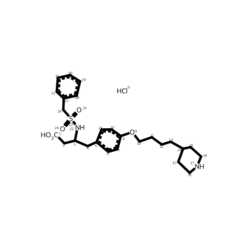 Cl.O=C(O)CC(Cc1ccc(OCCCCC2CCNCC2)cc1)NS(=O)(=O)Cc1ccccc1